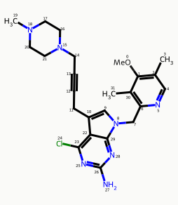 COc1c(C)cnc(Cn2cc(CC#CCN3CCN(C)CC3)c3c(Cl)nc(N)nc32)c1C